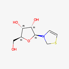 OC[C@@H]1O[C@H](N2C=CSC2)[C@@H](O)[C@H]1O